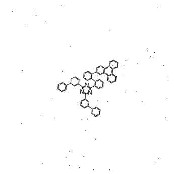 C1=CC(c2nc(-c3cccc(-c4ccccc4)c3)nc(-c3ccccc3-c3ccccc3-c3ccc4c5ccccc5c5ccccc5c4c3)n2)=CC(c2ccccc2)C1